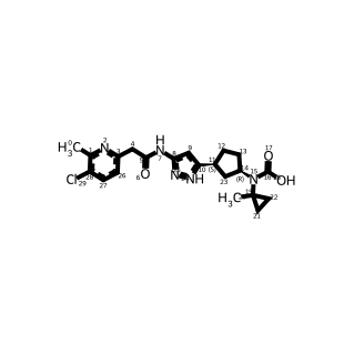 Cc1nc(CC(=O)Nc2cc([C@H]3CC[C@@H](N(C(=O)O)C4(C)CC4)C3)[nH]n2)ccc1Cl